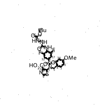 COc1ccc(CN(c2scnc2C(=O)O)S(=O)(=O)c2cc(F)c(NC(=O)NNC(=O)OC(C)(C)C)c(F)c2)cc1